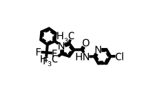 Cc1cc(C(=O)Nc2ccc(Cl)cn2)c(C)n1-c1ccccc1C(F)(F)F